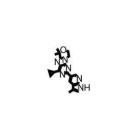 Cc1c[nH]c2ncc(-c3nc(C4CC4)c4nc5n(c4n3)CCOC5(C)C)cc12